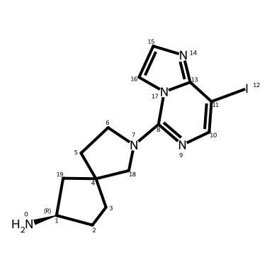 N[C@@H]1CCC2(CCN(c3ncc(I)c4nccn34)C2)C1